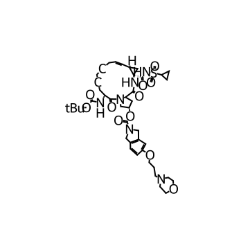 CC(C)(C)OC(=O)N[C@H]1CCCCC/C=C\[C@@H]2C[C@@]2(C(=O)NS(=O)(=O)C2CC2)NC(=O)C2C[C@@H](OC(=O)N3Cc4ccc(OCCCN5CCOCC5)cc4C3)CN2C1=O